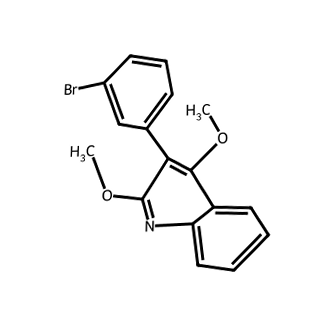 COc1nc2ccccc2c(OC)c1-c1cccc(Br)c1